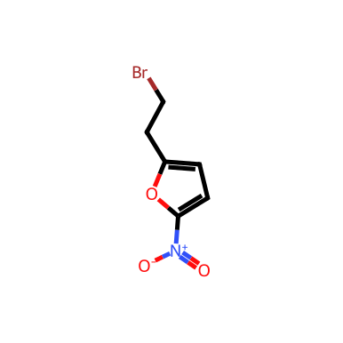 O=[N+]([O-])c1ccc(CCBr)o1